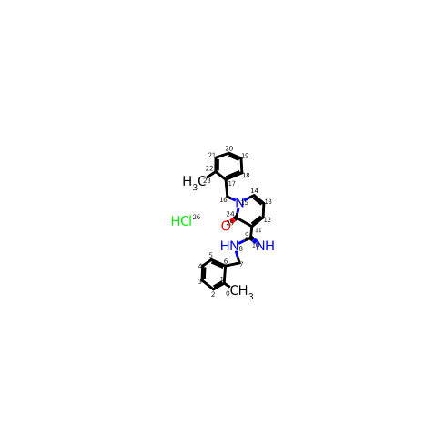 Cc1ccccc1CNC(=N)c1cccn(Cc2ccccc2C)c1=O.Cl